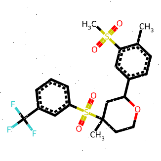 Cc1ccc(C2CC(C)(S(=O)(=O)c3cccc(C(F)(F)F)c3)CCO2)cc1S(C)(=O)=O